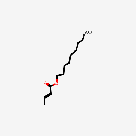 [CH2]CCCCCCCCCCCCCCCOC(=O)C=CC